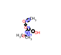 COC[C@H](C)Nc1ncc2c(O[C@H]3C[C@H](C(=O)N4CCN(C)CC4)C3)ncc([C@H]3CC[C@H](O)CC3)c2n1